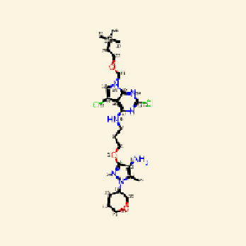 Cc1c(N)c(OCCCNc2nc(Cl)nc3c2c(Cl)cn3COCC[Si](C)(C)C)nn1C1CCCOC1